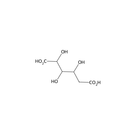 O=C(O)CC(O)C(O)C(O)C(=O)O